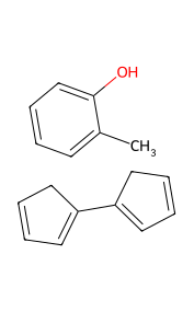 C1=CCC(C2=CC=CC2)=C1.Cc1ccccc1O